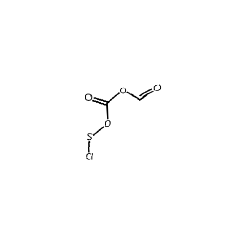 O=COC(=O)OSCl